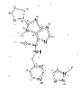 Cn1cc(-c2cc(CNC(=O)c3ncnc4nc(C5CCCC5)n(C)c34)ccn2)cn1